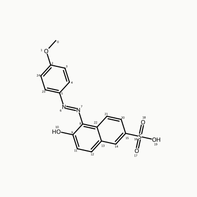 COc1ccc(/N=N/c2c(O)ccc3cc(S(=O)(=O)O)ccc23)cc1